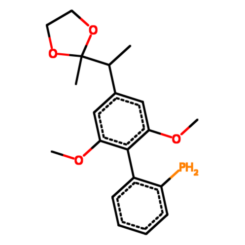 COc1cc(C(C)C2(C)OCCO2)cc(OC)c1-c1ccccc1P